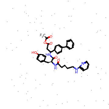 O=C(CCCCNc1ccccn1)N[C@@H](Cc1ccc(O)cc1)C(=O)NC(CC(=O)OC(=O)C(F)(F)F)c1ccc(-c2ccccc2)cc1